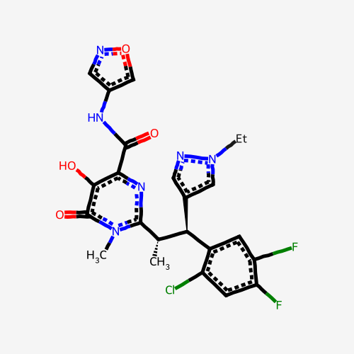 CCn1cc([C@@H](c2cc(F)c(F)cc2Cl)[C@H](C)c2nc(C(=O)Nc3cnoc3)c(O)c(=O)n2C)cn1